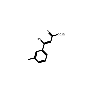 CCOC(=O)C(=O)/C=C(\O)c1cccc(C)c1